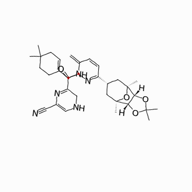 C=C(/C=C\C(=N/CCC1=CCC(C)(C)CC1)[C@H]1C[C@@]2(C)O[C@@](C)(C1)[C@@H]1OC(C)(C)O[C@@H]12)NC(=O)C1=NC(C#N)=CNC1